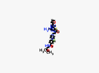 CO[C@H](C)CCNC(=O)c1ccc(N2CCN(CCn3c(=O)sc4c3nc(N)n3nc(-c5ccco5)nc43)CC2)c(F)c1